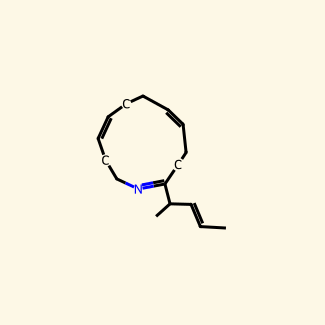 CC=CC(C)C1=NCCC=CCCC=CCC1